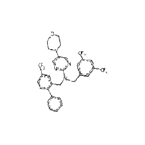 FC(F)(F)c1cc(CN(Cc2cc(C(F)(F)F)ccc2-c2ccccc2)c2ncc(N3CCOCC3)cn2)cc(C(F)(F)F)c1